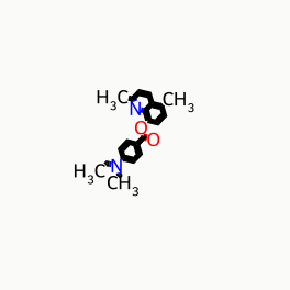 CCN(CC)c1ccc(C(=O)Oc2ccc(C)c3ccc(C)nc23)cc1